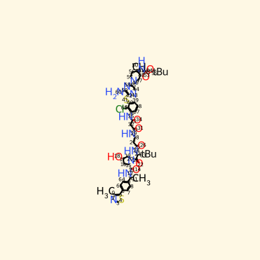 Cc1ncsc1-c1ccc([C@H](C)NC(=O)[C@@H]2C[C@@H](O)CN2C(=O)[C@@H](NC(=O)CCNC(=O)CC(=O)Nc2cccc(Sc3ncc(N4CCC(C)(NC(=O)OC(C)(C)C)CC4)nc3N)c2Cl)C(C)(C)C)cc1